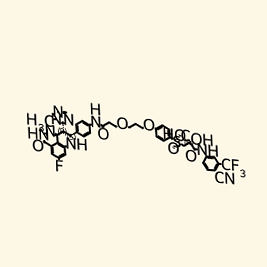 Cn1ncnc1[C@H]1c2n[nH]c(=O)c3cc(F)cc(c23)N[C@@H]1c1ccc(NC(=O)CCOCCCOc2ccc(S(=O)(=O)C[C@](C)(O)C(=O)Nc3ccc(C#N)c(C(F)(F)F)c3)cc2)cc1